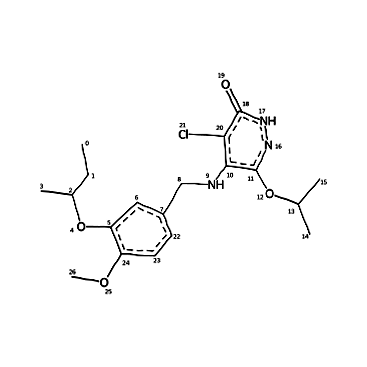 CCC(C)Oc1cc(CNc2c(OC(C)C)n[nH]c(=O)c2Cl)ccc1OC